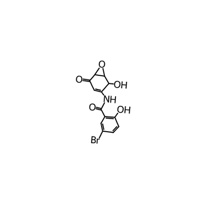 O=C(NC1=CC(=O)C2OC2C1O)c1cc(Br)ccc1O